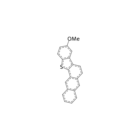 COc1ccc2sc3c4cc5ccccc5cc4ccc3c2c1